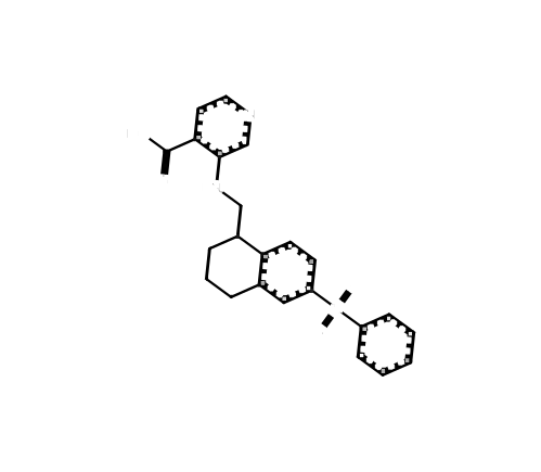 O=C(O)c1ccncc1NCC1CCCc2cc(S(=O)(=O)c3ccccc3)ccc21